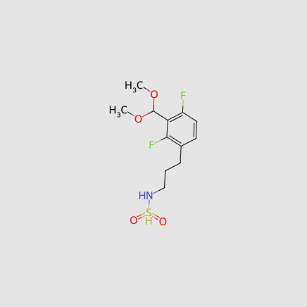 COC(OC)c1c(F)ccc(CCCN[SH](=O)=O)c1F